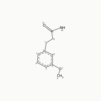 COc1cccc(CCC([NH])=O)c1